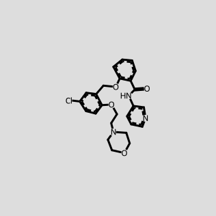 O=C(Nc1cccnc1)c1ccccc1OCc1cc(Cl)ccc1OCCN1CCOCC1